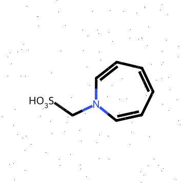 O=S(=O)(O)CN1C=CC=CC=C1